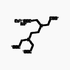 O=C([O-])CN(CCN(CC(=O)[O-])CC(=O)[O-])CC(=O)[O-].[Co+3].[Na+]